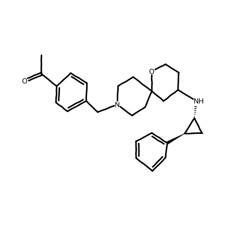 CC(=O)c1ccc(CN2CCC3(CC2)CC(N[C@@H]2C[C@H]2c2ccccc2)CCO3)cc1